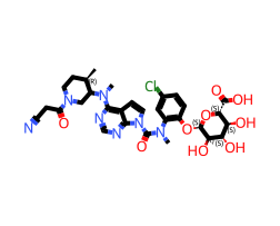 C[C@@H]1CCN(C(=O)CC#N)CC1N(C)c1ncnc2c1ccn2C(=O)N(C)c1cc(Cl)ccc1O[C@@H]1O[C@H](C(=O)O)[C@@H](O)[C@H](O)[C@H]1O